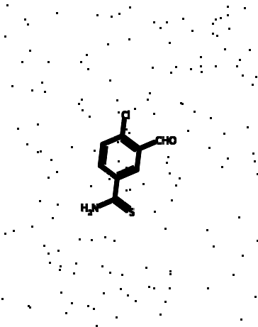 NC(=S)c1ccc(Cl)c(C=O)c1